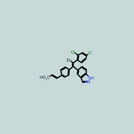 CC/C(=C(\c1ccc(C=CC(=O)O)cc1)c1ccc2[nH]ncc2c1)c1ccc(Cl)cc1Cl